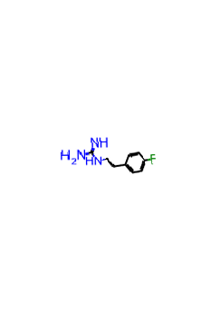 N=C(N)NCCc1ccc(F)cc1